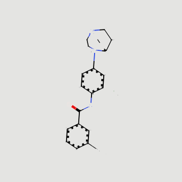 Cl.O=C(Nc1ccc(N2CCN3CCC2CC3)cc1)c1cccc([N+](=O)[O-])c1